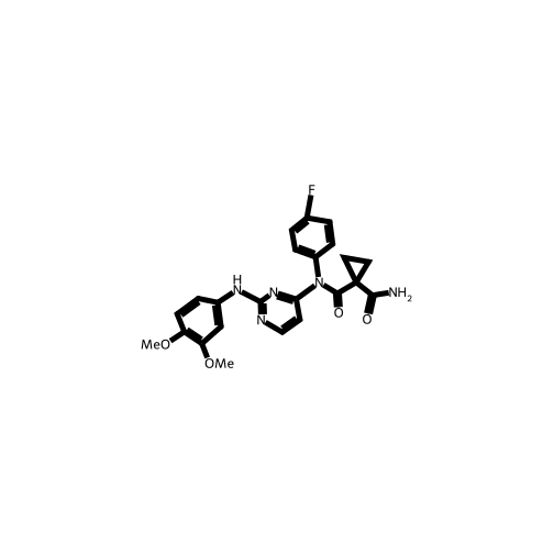 COc1ccc(Nc2nccc(N(C(=O)C3(C(N)=O)CC3)c3ccc(F)cc3)n2)cc1OC